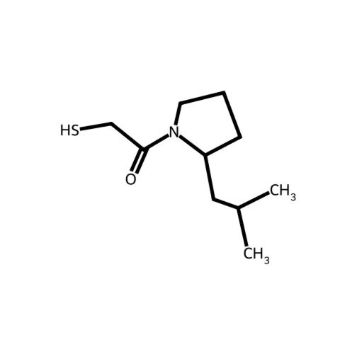 CC(C)CC1CCCN1C(=O)CS